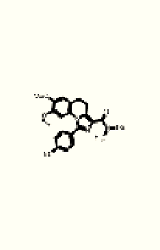 COc1cc2c(cc1OC(C)C)-n1c(-c3ccc(C#N)cc3)nc(C(=O)N(C)C(C)(C)C)c1CC2